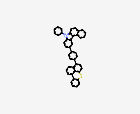 c1ccc(-n2c3ccc(-c4ccc(-c5ccc6c7c(cccc57)-c5ccccc5S6)cc4)cc3c3c4ccccc4ccc32)cc1